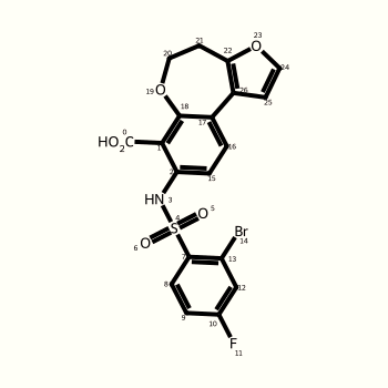 O=C(O)c1c(NS(=O)(=O)c2ccc(F)cc2Br)ccc2c1OCCc1occc1-2